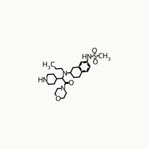 CCCN(C1CCc2ccc(NS(C)(=O)=O)cc2C1)C(C(=O)N1CCOCC1)C1CCNCC1